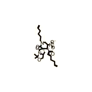 C=CCCCCN1CC([N+](=O)[O-])[C@@H](c2coc(CCC=C)c2)[C@]2(CC3COC(C)(C)N3C2=O)C1=O